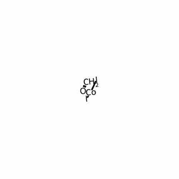 C=O.[I][Co][I]